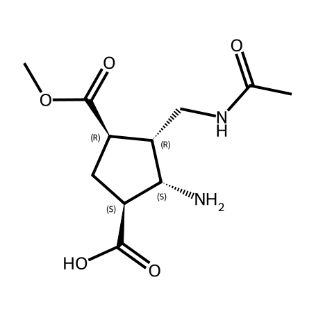 COC(=O)[C@@H]1C[C@H](C(=O)O)[C@@H](N)[C@H]1CNC(C)=O